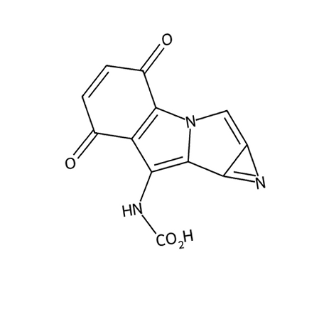 O=C(O)Nc1c2c(n3cc4nc4c13)C(=O)C=CC2=O